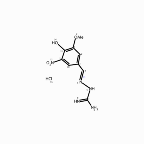 COc1cc(/C=N/NC(=N)N)cc([N+](=O)[O-])c1O.Cl